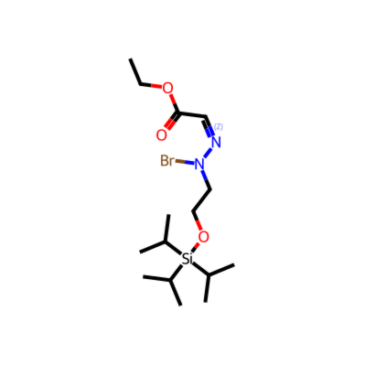 CCOC(=O)/C=N\N(Br)CCO[Si](C(C)C)(C(C)C)C(C)C